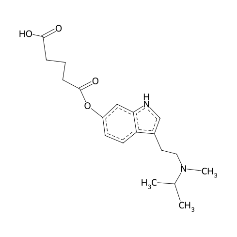 CC(C)N(C)CCc1c[nH]c2cc(OC(=O)CCCC(=O)O)ccc12